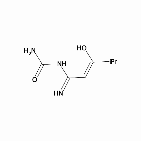 CC(C)/C(O)=C/C(=N)NC(N)=O